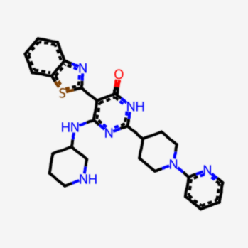 O=c1[nH]c(C2CCN(c3ccccn3)CC2)nc(NC2CCCNC2)c1-c1nc2ccccc2s1